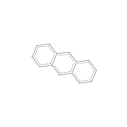 [c]1c[c]c2cc3ccccc3[c]c2c1